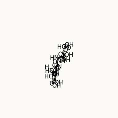 N=C(NC(=O)c1ncn(C2O[C@H](COP(=O)(O)O)[C@@H](O)[C@H]2O)c1N)C1O[C@H](COP(=O)(O)O)[C@@H](O)[C@H]1O